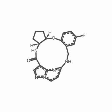 O=C1N[C@@H]2CCC[C@@H]2Oc2ccc(F)cc2CNc2ccn3ncc1c3n2